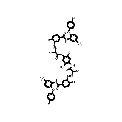 CC(=O)C(/N=N/c1cc(C(=O)Nc2cc(C(F)(F)F)ccc2Oc2ccc(Cl)cc2)ccc1Cl)C(=O)Nc1cc(Cl)c(NC(=O)C(/N=N/c2cc(C(=O)Nc3cc(C(F)(F)F)ccc3Oc3ccc(Cl)cc3)ccc2Cl)C(C)=O)cc1C